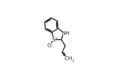 C=CCC1Nc2ccccc2[S+]1[O-]